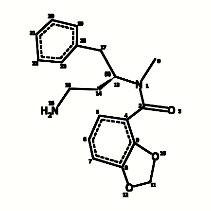 CN(C(=O)c1cccc2c1OCO2)[C@H](CCN)Cc1ccccc1